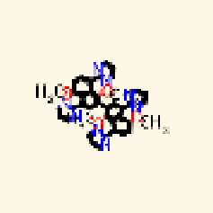 COc1ccc(-c2ncccn2)c2c(OC)c(-c3cc(-c4ncccn4)c4c(OC)ccc(-c5ncccn5)c4c3OC)cc(-c3ncccn3)c12